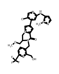 COCC1Cn2cc(-c3cc(Nc4ccnn4C)ncc3Cl)cc2C(=O)N1Cc1ccc(C(F)(F)F)nc1CO